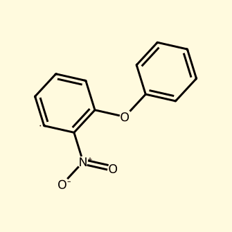 O=[N+]([O-])c1[c]cccc1Oc1ccccc1